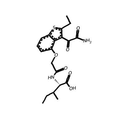 CCc1sc2cccc(OCC(=O)N[C@H](C(=O)O)C(C)CC)c2c1C(=O)C(N)=O